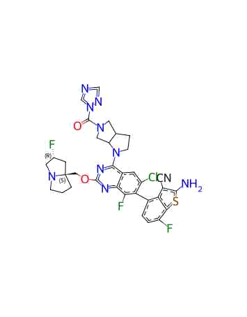 N#Cc1c(N)sc2c(F)ccc(-c3c(Cl)cc4c(N5CCC6CN(C(=O)n7cncn7)CC65)nc(OC[C@@]56CCCN5C[C@H](F)C6)nc4c3F)c12